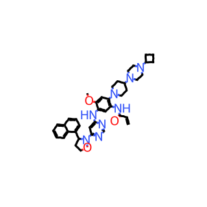 C=CC(=O)Nc1cc(Nc2cc(N3OCCC3c3cccc4ccccc34)ncn2)c(OC)cc1N1CCC(N2CCN(C3CCC3)CC2)CC1